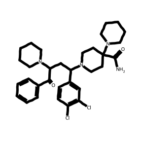 NC(=O)C1(N2CCCCC2)CCN(C(CC(C(=O)c2ccccc2)N2CCCCC2)c2ccc(Cl)c(Cl)c2)CC1